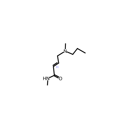 CCCN(C)C/C=C/C(=O)NC